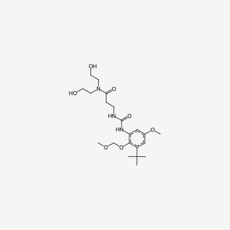 COCOc1c(NC(=O)NCCC(=O)N(CCO)CCO)cc(OC)cc1C(C)(C)C